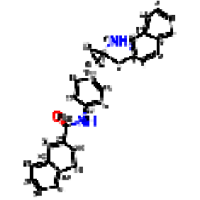 N[C@@]1(Cc2ccc3ccccc3c2)C[C@H]1c1ccc(NC(=O)c2ccc3ccccc3c2)cc1